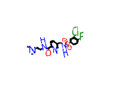 CN(C)CCNC(=O)c1ccc(CNS(=O)(=O)c2ccc(F)c(Cl)c2)cn1